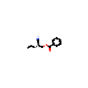 CCC[C@H](C#N)COC(=O)c1ccccc1